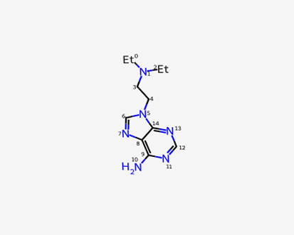 CCN(CC)CCn1cnc2c(N)ncnc21